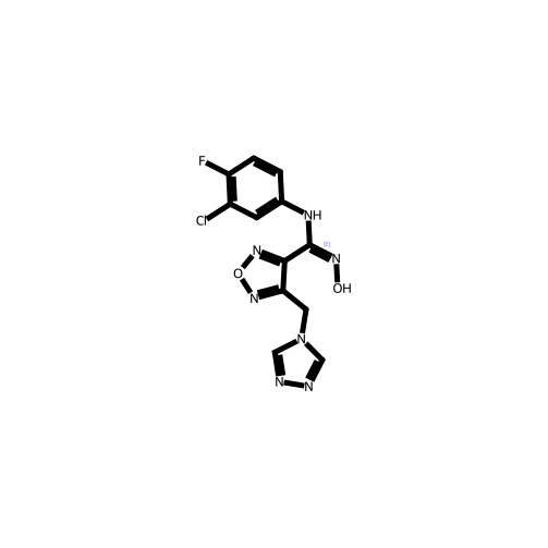 O/N=C(/Nc1ccc(F)c(Cl)c1)c1nonc1Cn1cnnc1